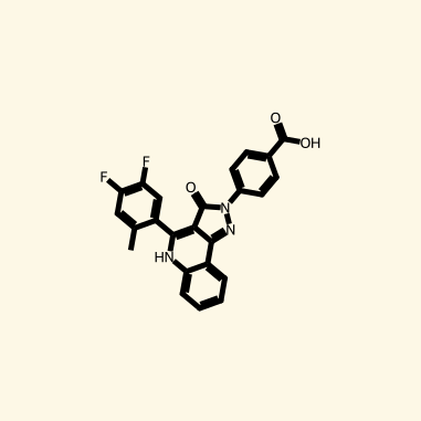 Cc1cc(F)c(F)cc1-c1[nH]c2ccccc2c2nn(-c3ccc(C(=O)O)cc3)c(=O)c1-2